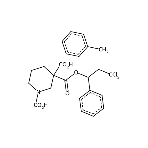 O=C(O)N1CCCC(C(=O)O)(C(=O)OC(CC(Cl)(Cl)Cl)c2ccccc2)C1.[CH2]c1ccccc1